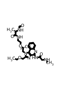 CCOCc1nc2c(NC(=O)CNC)nc3ccccc3c2n1C[C@@H](C)OCCNC(=O)[C@@H](C)NC=O